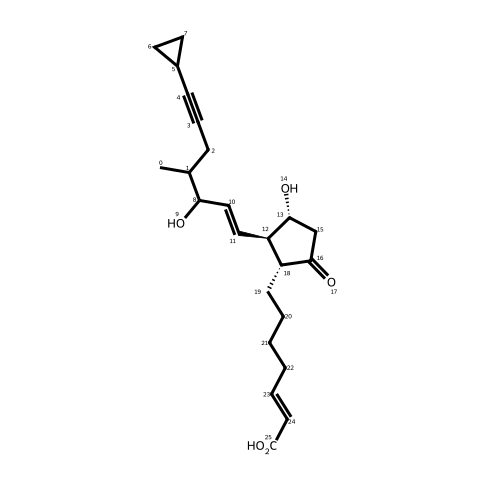 CC(CC#CC1CC1)C(O)/C=C/[C@H]1[C@H](O)CC(=O)[C@@H]1CCCC/C=C/C(=O)O